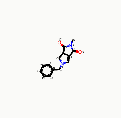 CN1C(=O)C2=CN(Cc3ccccc3)CC2C1=O